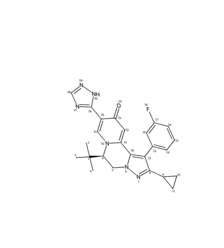 CC(C)(C)[C@@H]1Cn2nc(C3CC3)c(-c3cccc(F)c3)c2-c2cc(=O)c(-c3ncn[nH]3)cn21